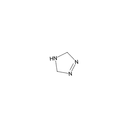 C1N=NCN1